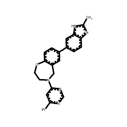 Cc1nc2ccc(-c3ccc4c(c3)CN(c3cc(C(C)C)ncn3)CCO4)cc2[nH]1